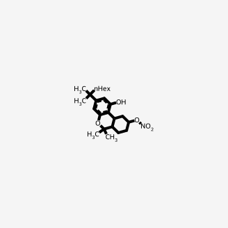 CCCCCCC(C)(C)c1cc(O)c2c(c1)OC(C)(C)C1CCC(O[N+](=O)[O-])CC21